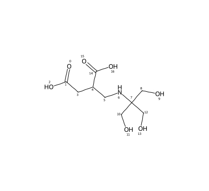 O=C(O)CC(CNC(CO)(CO)CO)C(=O)O